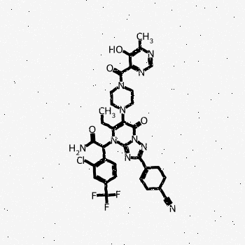 CCc1c(N2CCN(C(=O)c3ncnc(C)c3O)CC2)c(=O)n2nc(C3=CCC(C#N)CC3)nc2n1C(C(N)=O)c1ccc(C(F)(F)F)cc1Cl